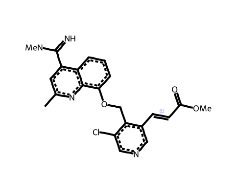 CNC(=N)c1cc(C)nc2c(OCc3c(Cl)cncc3/C=C/C(=O)OC)cccc12